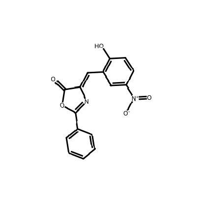 O=C1OC(c2ccccc2)=NC1=Cc1cc([N+](=O)[O-])ccc1O